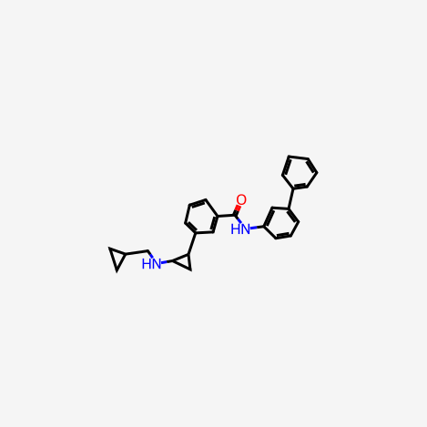 O=C(Nc1cccc(-c2ccccc2)c1)c1cccc(C2CC2NCC2CC2)c1